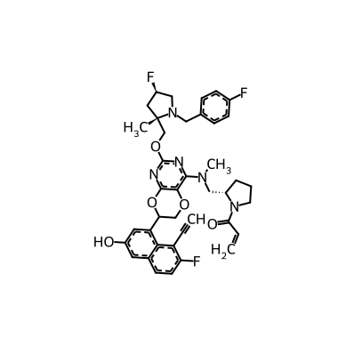 C#Cc1c(F)ccc2cc(O)cc(C3COc4c(nc(OC[C@]5(C)C[C@@H](F)CN5Cc5ccc(F)cc5)nc4N(C)C[C@@H]4CCCN4C(=O)C=C)O3)c12